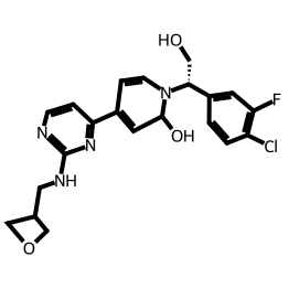 OC[C@H](c1ccc(Cl)c(F)c1)N1C=CC(c2ccnc(NCC3COC3)n2)=CC1O